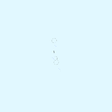 CCN(CC)Cc1ccc2c(c1)cc(C#CCNc1ccccc1)n2CC